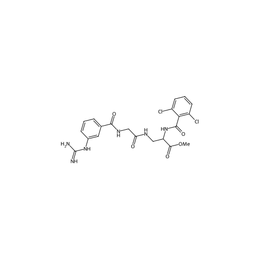 COC(=O)C(CNC(=O)CNC(=O)c1cccc(NC(=N)N)c1)NC(=O)c1c(Cl)cccc1Cl